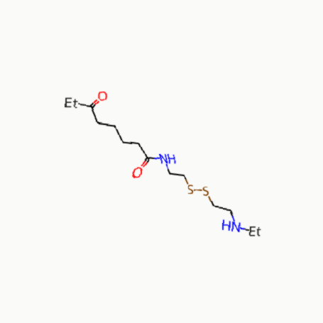 CCNCCSSCCNC(=O)CCCCC(=O)CC